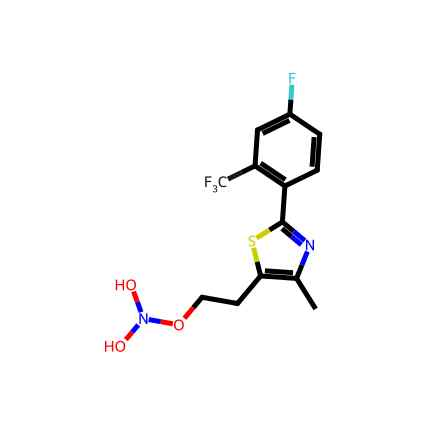 Cc1nc(-c2ccc(F)cc2C(F)(F)F)sc1CCON(O)O